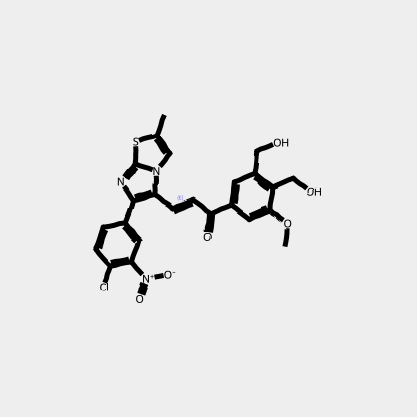 COc1cc(C(=O)/C=C/c2c(-c3ccc(Cl)c([N+](=O)[O-])c3)nc3sc(C)cn23)cc(CO)c1CO